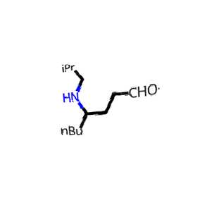 CCCCC(CC[C]=O)NCC(C)C